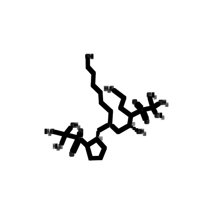 CCCC([C@H](C)CN(CCCCCCO)C[C@@H]1CCCC1S(=O)(=O)C(C)(C)C)S(=O)(=O)C(C)(C)C